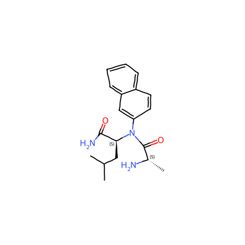 CC(C)C[C@@H](C(N)=O)N(C(=O)[C@H](C)N)c1ccc2ccccc2c1